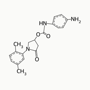 Cc1ccc(C)c(N2CC(OC(=O)Nc3ccc(N)cc3)CC2=O)c1